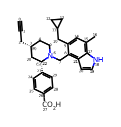 C#CC[C@@H]1CCN(Cc2c(CC3CC3)cc(C)c3[nH]ccc23)[C@H](c2ccc(C(=O)O)cc2)C1